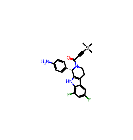 C[Si](C)(C)C#CC(=O)N1CCc2c([nH]c3c(F)cc(F)cc23)[C@@H]1c1ccc(N)cc1